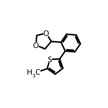 Cc1ccc(-c2ccccc2C2COCO2)s1